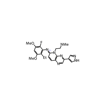 CCc1c(OC)cc(OC)c(F)c1/N=c1\ccc2ncc(-c3cn[nH]c3)nc2n1CCNC